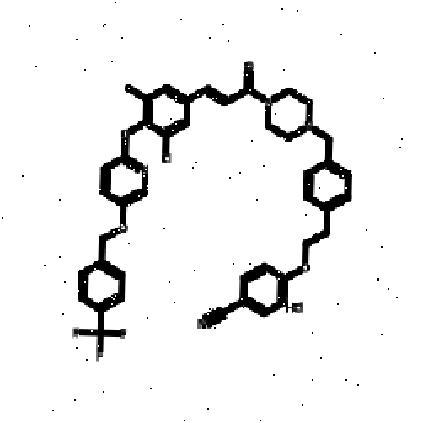 Cc1cc(/C=C/C(=O)N2CCN(Cc3ccc(CCOc4ccc(C#N)cc4)cc3)CC2)cc(Cl)c1Oc1ccc(OCc2ccc(C(F)(F)F)cc2)cn1.Cl